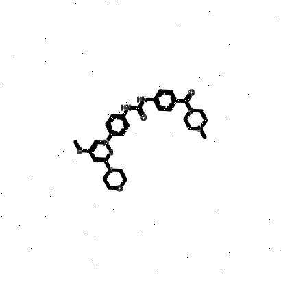 COC1=CN(c2ccc(NC(=O)Nc3ccc(C(=O)N4CCN(C)CC4)cc3)cc2)SC(N2CCOCC2)=C1